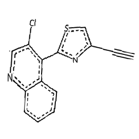 C#Cc1csc(-c2c(Cl)[c]nc3ccccc23)n1